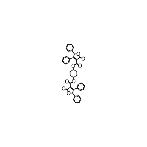 O=C(OC1CCC(OC(=O)C2=C(c3ccccc3)C(c3ccccc3)OC2=O)CC1)C1=C(c2ccccc2)C(c2ccccc2)OC1=O